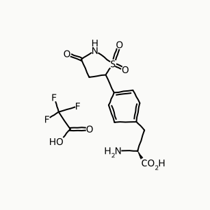 N[C@@H](Cc1ccc(C2CC(=O)NS2(=O)=O)cc1)C(=O)O.O=C(O)C(F)(F)F